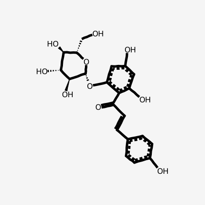 O=C(/C=C/c1ccc(O)cc1)c1c(O)cc(O)cc1O[C@H]1O[C@@H](CO)[C@H](O)[C@@H](O)[C@@H]1O